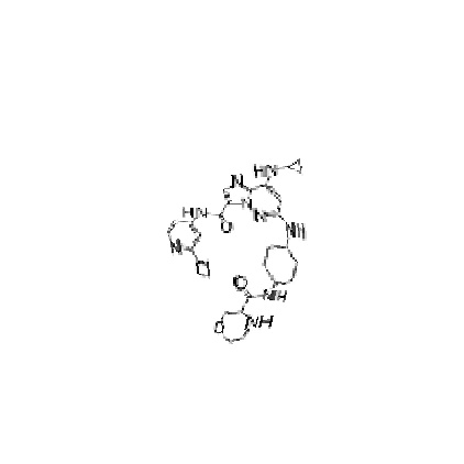 O=C(Nc1ccnc(Cl)c1)c1cnc2c(NC3CC3)cc(NC3CCC(NC(=O)C4COCCN4)CC3)nn12